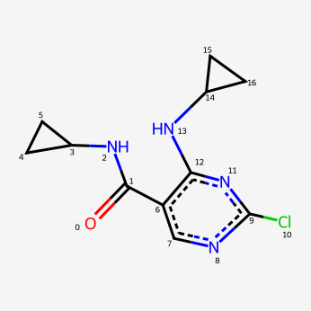 O=C(NC1CC1)c1cnc(Cl)nc1NC1CC1